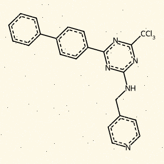 ClC(Cl)(Cl)c1nc(NCc2ccncc2)nc(-c2ccc(-c3ccccc3)cc2)n1